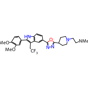 CNCCN1CCC(c2nnc(-c3ccc4[nH]c(-c5ccc(OC)c(OC)c5)c(CC(F)(F)F)c4c3)o2)CC1